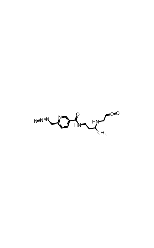 CC(CCNC(=O)c1ccc(CN=[N+]=[N-])nc1)NCC=C=O